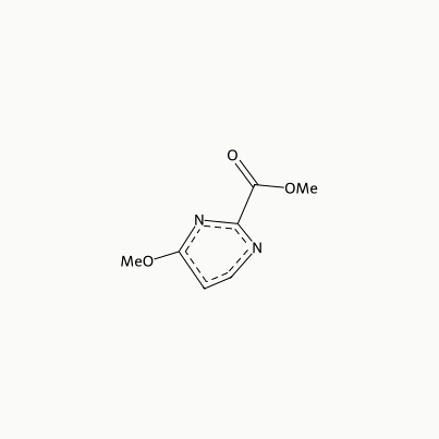 COC(=O)c1nccc(OC)n1